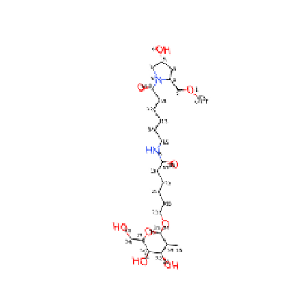 CC(C)OC[C@@H]1C[C@@H](O)CN1C(=O)CCCCCNC(=O)CCCCCO[C@@H]1OC(CO)C(O)[C@H](O)C1C